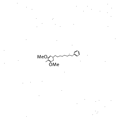 COC1=CC(CCCCCCCCc2ccccc2)CC(OC)=C1C